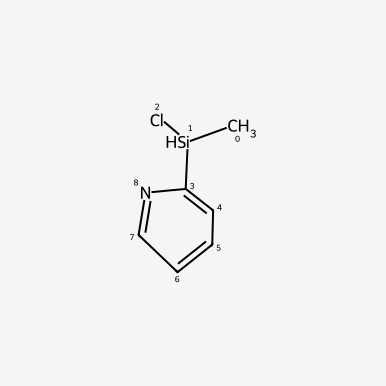 C[SiH](Cl)c1ccccn1